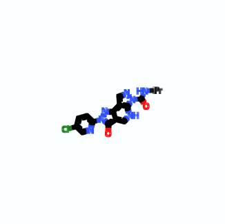 CC(C)NC(=O)n1ncc2c3nn(-c4ccc(Cl)cn4)c(=O)c-3c[nH]c21